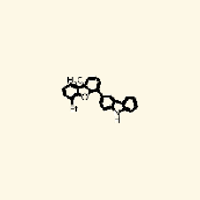 CCc1cccc2c1OC1C(c3ccc4[nH]c5ccccc5c4c3)=CC=C[C@@]21C